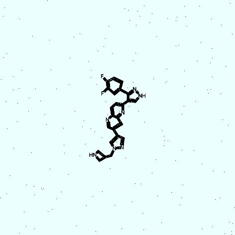 Fc1ccc(-c2n[nH]cc2-c2ccc3ncc(-c4cnn(CC5CNC5)c4)cc3n2)cc1F